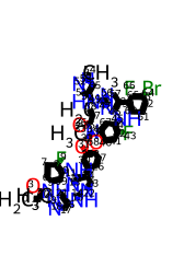 C=CC(=O)Nc1ccc(F)c(Nc2nc(Nc3cnn(C)c3)ncc2-c2ccc3c(c2)OC(C)(N(C(=O)C=C)c2ccc(F)c(Nc4nc(Nc5cnn(C)c5)ncc4-c4cccc(Br)c4F)c2)O3)c1